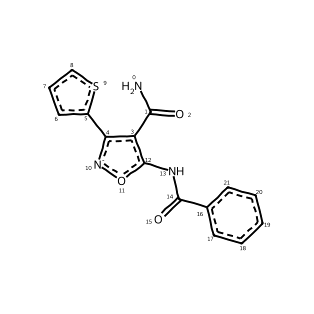 NC(=O)c1c(-c2cccs2)noc1NC(=O)c1ccccc1